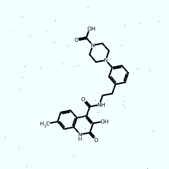 Cc1ccc2c(C(=O)NCCc3cccc(N4CCN(C(=O)O)CC4)c3)c(O)c(=O)[nH]c2c1